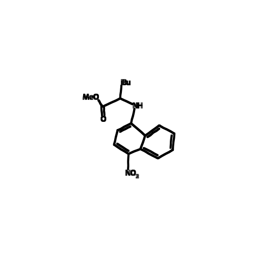 CCC(C)C(Nc1ccc([N+](=O)[O-])c2ccccc12)C(=O)OC